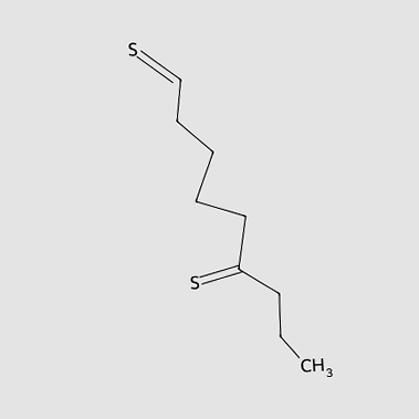 CCCC(=S)CCCCC=S